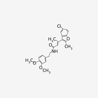 COc1ccc(CCNC(=O)/C=C(\C)c2c(C)oc3ccc(Cl)cc23)cc1OC